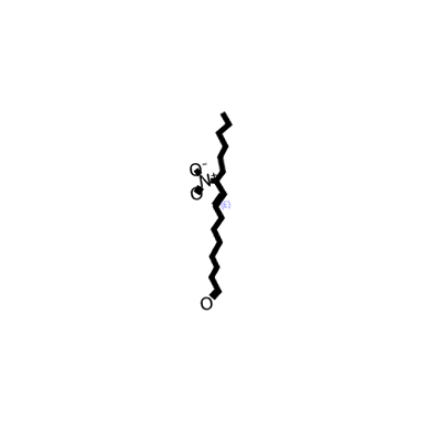 CCCCCCC(/C=C/CCCCCCC=O)[N+](=O)[O-]